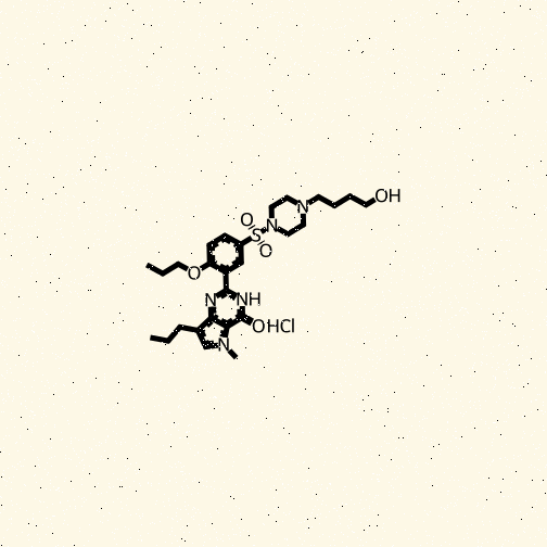 CCCOc1ccc(S(=O)(=O)N2CCN(CCCCO)CC2)cc1-c1nc2c(CCC)cn(C)c2c(=O)[nH]1.Cl